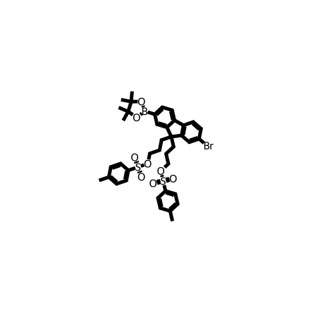 Cc1ccc(S(=O)(=O)OCCCC2(CCCOS(=O)(=O)c3ccc(C)cc3)c3cc(Br)ccc3-c3ccc(B4OC(C)(C)C(C)(C)O4)cc32)cc1